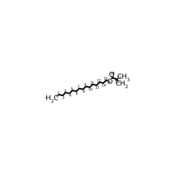 [CH2]CCCCCCCCCCCCCC[CH]OC(=O)C(=C)C